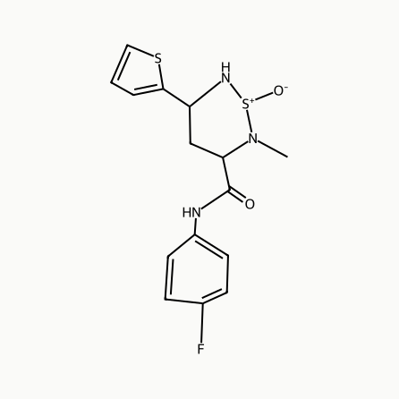 CN1C(C(=O)Nc2ccc(F)cc2)CC(c2cccs2)N[S+]1[O-]